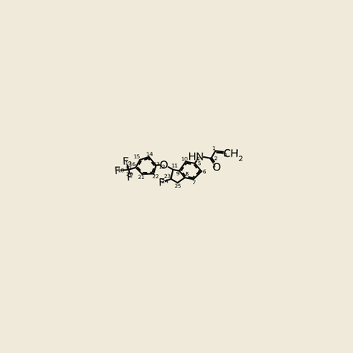 C=CC(=O)Nc1ccc2c(c1)C(Oc1ccc(C(F)(F)F)cc1)C(F)C2